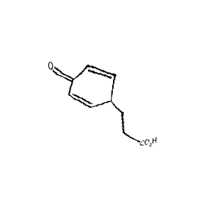 O=C1C=CC(CCC(=O)O)C=C1